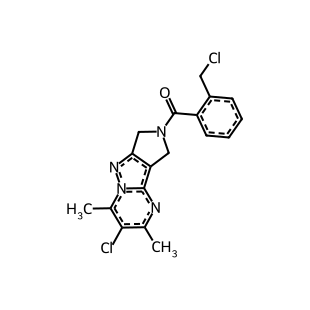 Cc1nc2c3c(nn2c(C)c1Cl)CN(C(=O)c1ccccc1CCl)C3